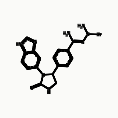 CC(C)N(N)/N=C(\N)c1ccc(C2CNC(=O)N2c2ccc3[nH]cnc3c2)cc1